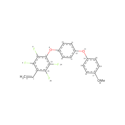 C=Cc1c(F)c(F)c(Oc2ccc(Oc3ccc(OC)cc3)cc2)c(F)c1F